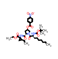 C=CCCCCC[C@H](NC(=O)OC(C)(C)C)C(=O)N1C[C@H](OC(=O)c2ccc([N+](=O)[O-])cc2)C[C@H]1C(=O)NC1(C(=O)OCC)CC1C=C